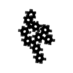 C1=Cc2c(ccc3c2c2ccccc2n3-c2cccc(-c3cccc(N(c4ccc(-c5ccccc5)cc4)c4ccc(-c5ccccc5)c(-c5ccccc5)c4)c3)c2)CC1